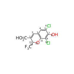 O=C(O)C1=Cc2cc(Cl)c(O)c(Cl)c2OC1C(F)(F)F